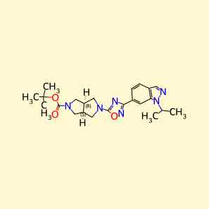 CC(C)n1ncc2ccc(-c3noc(N4C[C@H]5CN(C(=O)OC(C)(C)C)C[C@H]5C4)n3)cc21